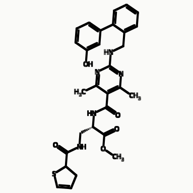 COC(=O)[C@H](CNC(=O)C1CC=CS1)NC(=O)c1c(C)nc(NCc2ccccc2-c2cccc(O)c2)nc1C